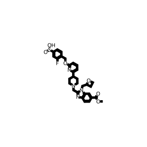 COC(=O)c1ccc2nc(CN3CCC(c4cccc(OCc5ccc(S(=O)O)cc5F)n4)CC3)n(CC3CCO3)c2c1